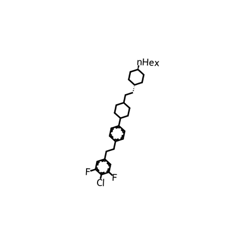 CCCCCC[C@H]1CC[C@H](CCC2CCC(c3ccc(CCc4cc(F)c(Cl)c(F)c4)cc3)CC2)CC1